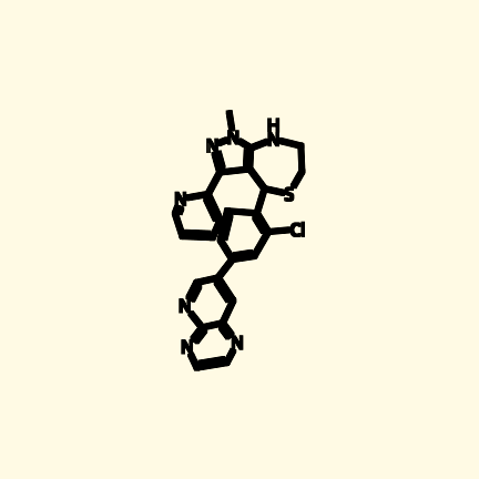 Cn1nc(-c2ccccn2)c2c1NCCSC2c1ccc(-c2cnc3nccnc3c2)cc1Cl